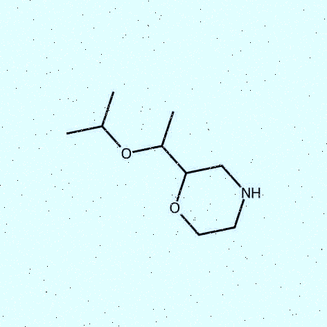 CC(C)OC(C)C1CNCCO1